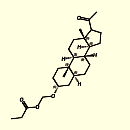 CCC(=O)OCO[C@@H]1CC[C@@]2(C)[C@@H](CC[C@@H]3[C@@H]2CC[C@]2(C)C(C(C)=O)CC[C@@H]32)C1